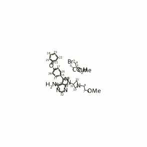 CC(=O)O.COCCBr.COCCN1CC(n2nc(-c3ccc(Oc4ccccc4)cc3)c3c(N)ncnc32)C1